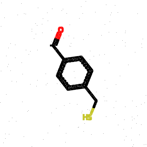 O=[C]c1ccc(CS)cc1